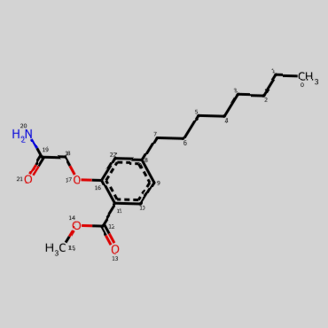 CCCCCCCCc1ccc(C(=O)OC)c(OCC(N)=O)c1